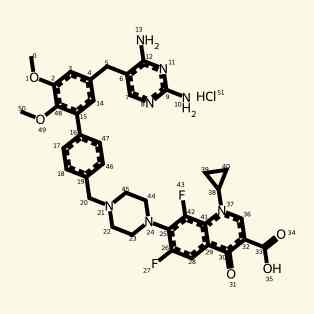 COc1cc(Cc2cnc(N)nc2N)cc(-c2ccc(CN3CCN(c4c(F)cc5c(=O)c(C(=O)O)cn(C6CC6)c5c4F)CC3)cc2)c1OC.Cl